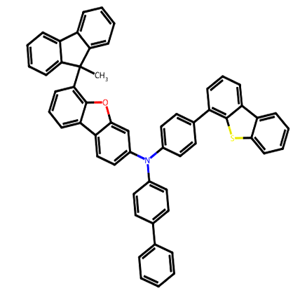 CC1(c2cccc3c2oc2cc(N(c4ccc(-c5ccccc5)cc4)c4ccc(-c5cccc6c5sc5ccccc56)cc4)ccc23)c2ccccc2-c2ccccc21